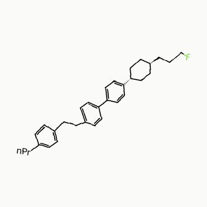 CCCc1ccc(CCc2ccc(-c3ccc([C@H]4CC[C@H](CCCF)CC4)cc3)cc2)cc1